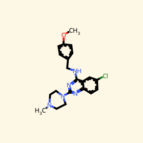 COc1ccc(CNc2nc(N3CCN(C)CC3)nc3ccc(Cl)cc23)cc1